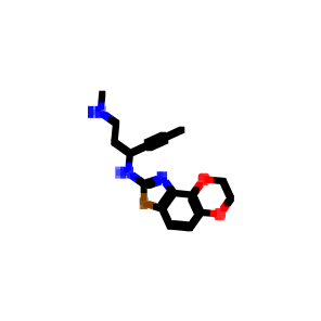 CC#CC(CCNC)Nc1nc2c3c(ccc2s1)OCCO3